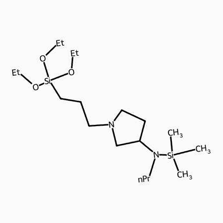 CCCN(C1CCN(CCC[Si](OCC)(OCC)OCC)C1)[Si](C)(C)C